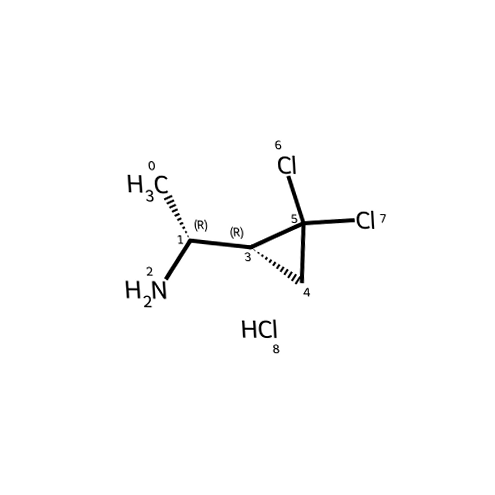 C[C@@H](N)[C@H]1CC1(Cl)Cl.Cl